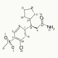 CS(=O)(=O)c1ccc([C@H](CC(N)=O)C2CCCC2)cc1Cl